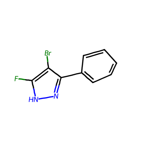 Fc1[nH]nc(-c2ccccc2)c1Br